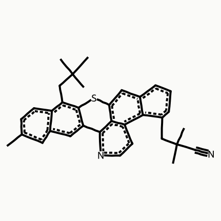 Cc1ccc2c(CC(C)(C)C)c3c(cc2c1)-c1nccc2c1c(cc1cccc(CC(C)(C)C#N)c12)S3